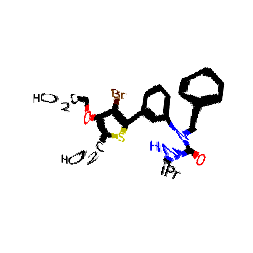 CC(C)NC(=O)N(Cc1ccccc1)c1cccc(-c2sc(C(=O)O)c(OCC(=O)O)c2Br)c1